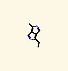 CCC1=C2C=NC(C)=C2C=N1